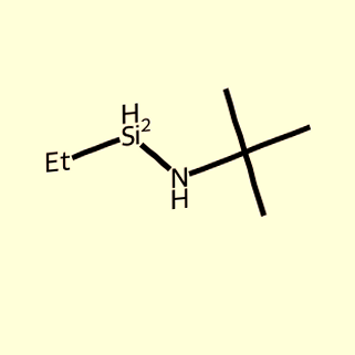 CC[SiH2]NC(C)(C)C